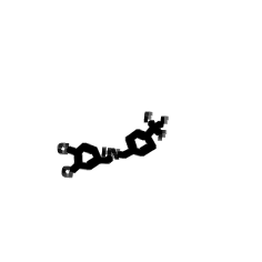 FC(F)(F)c1ccc(CNCc2ccc(Cl)c(Cl)c2)cc1